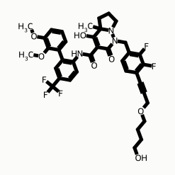 COc1cccc(-c2cc(C(F)(F)F)ccc2NC(=O)C2=C(O)C3(C)CCCN3N(Cc3ccc(C#CCOCCCCO)c(F)c3F)C2=O)c1OC